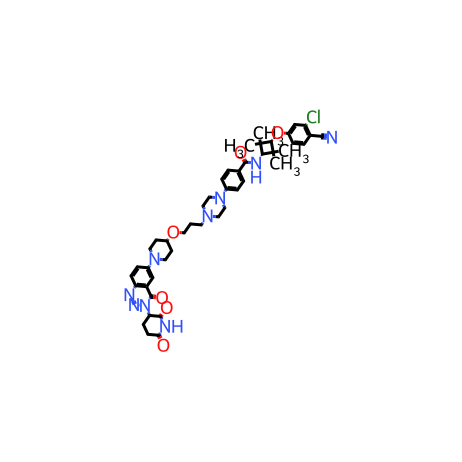 CC1(C)[C@H](NC(=O)c2ccc(N3CCN(CCCOC4CCN(c5ccc6nnn(C7CCC(=O)NC7=O)c(=O)c6c5)CC4)CC3)cc2)C(C)(C)[C@H]1Oc1ccc(C#N)c(Cl)c1